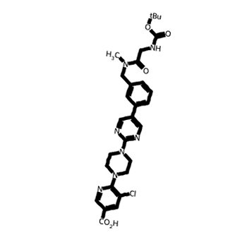 CN(Cc1cccc(-c2cnc(N3CCN(c4ncc(C(=O)O)cc4Cl)CC3)nc2)c1)C(=O)CNC(=O)OC(C)(C)C